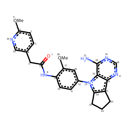 COc1ccc(CC(=O)Nc2ccc(-n3c4c(c5ncnc(N)c53)CCC4)cc2OC)cn1